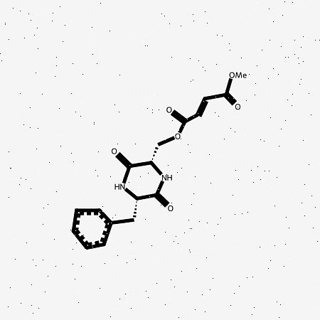 COC(=O)/C=C/C(=O)OC[C@@H]1NC(=O)[C@H](Cc2ccccc2)NC1=O